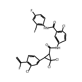 C=C(F)c1ccc(C2C(C(=O)Nc3ccc(Cl)c(C(=O)Nc4ccc(F)cc4F)c3)C2(Cl)Cl)cc1Cl